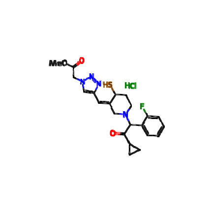 COC(=O)Cn1cc(C=C2CN(C(C(=O)C3CC3)c3ccccc3F)CCC2S)nn1.Cl